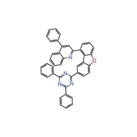 c1ccc(-c2nc(-c3ccccc3)nc(-c3ccc4oc5cccc(-c6cc(-c7ccccc7)c7ccccc7n6)c5c4c3)n2)cc1